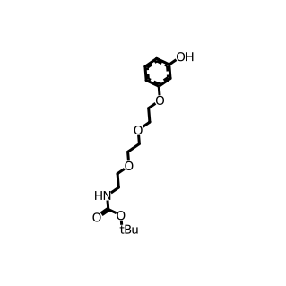 CC(C)(C)OC(=O)NCCOCCOCCOc1cccc(O)c1